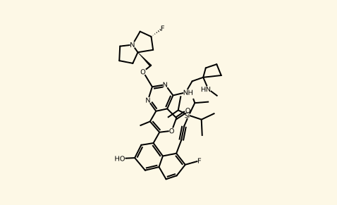 CNC1(CNc2nc(OC[C@@]34CCCN3C[C@H](F)C4)nc3c(C)c(-c4cc(O)cc5ccc(F)c(C#C[Si](C(C)C)(C(C)C)C(C)C)c45)oc(=O)c23)CCC1